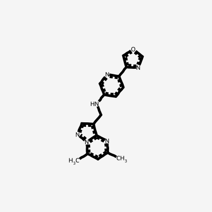 Cc1cc(C)n2ncc(CNc3ccc(-c4cocn4)nc3)c2n1